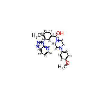 COc1ccc(N2CCN(C(O)c3ccc(C)c(-n4nnc5cccnc54)c3)CC2)cc1